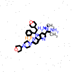 C/C(N)=C(\c1cnc2c3ccc(N4CCN(C5CCOCC5)CC4)nc3n(C(CC3CCOCC3)c3ccccc3P)c2c1)N(C)N